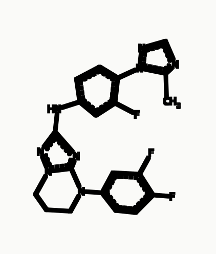 Cc1ncnn1-c1ccc(Nc2nc3n(n2)CCCN3c2ccc(F)c(F)c2)cc1F